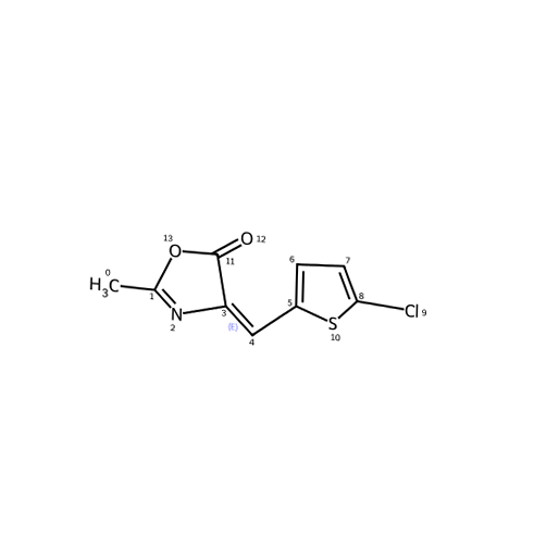 CC1=N/C(=C/c2ccc(Cl)s2)C(=O)O1